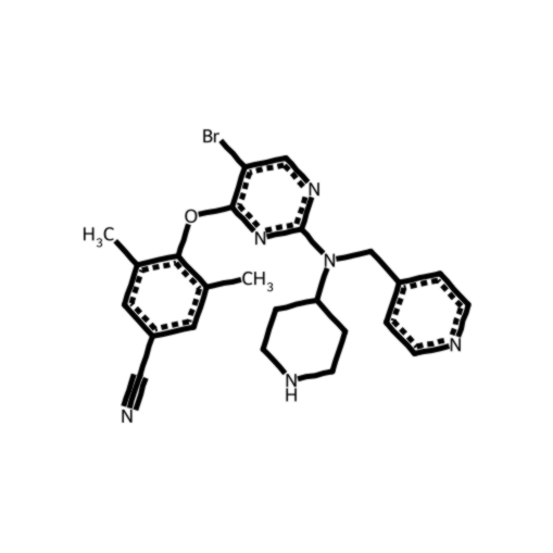 Cc1cc(C#N)cc(C)c1Oc1nc(N(Cc2ccncc2)C2CCNCC2)ncc1Br